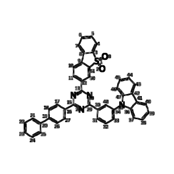 O=S1(=O)c2ccccc2-c2ccc(-c3nc(-c4ccc(-c5ccccc5)cc4)nc(-c4cccc(-n5c6ccccc6c6ccccc65)c4)n3)cc21